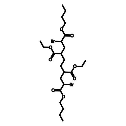 CCCCOC(=O)C(Br)CC(CCC(CC(Br)C(=O)OCCCC)C(=O)OCC)C(=O)OCC